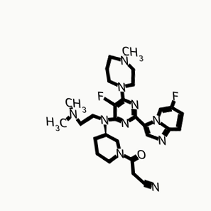 CN(C)CCN(c1nc(-c2cnc3ccc(F)cn23)nc(N2CCCN(C)CC2)c1F)[C@@H]1CCCN(C(=O)CC#N)C1